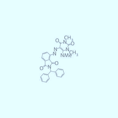 CNc1c(N=Nc2cccc3c2C(=O)N(C(c2ccccc2)c2ccccc2)C3=O)c(=O)n(C)c(=O)n1C